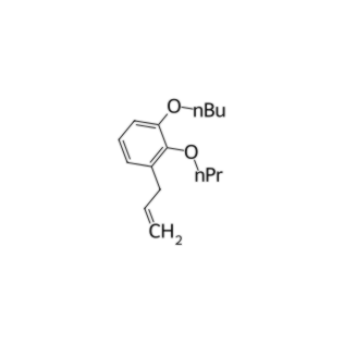 C=CCc1cccc(OCCCC)c1OCCC